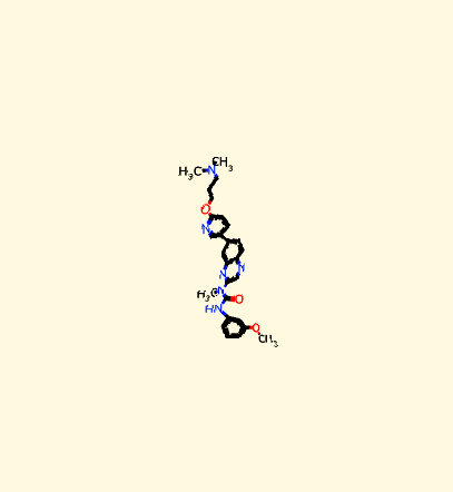 COc1cccc(NC(=O)N(C)c2cnc3ccc(-c4ccc(OCCCN(C)C)nc4)cc3n2)c1